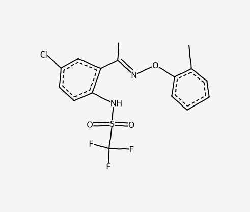 C/C(=N\Oc1ccccc1C)c1cc(Cl)ccc1NS(=O)(=O)C(F)(F)F